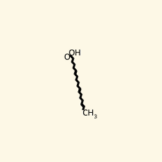 CCC=CCCCC=CCCCCC=CCCCCC(=O)O